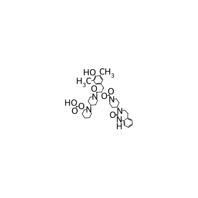 Cc1cc(C[C@@H](OC(=O)N2CCC(N3CCc4ccccc4NC3=O)CC2)C(=O)N2CCC(N3CCCC[C@@H]3OC(=O)O)CC2)cc(C)c1O